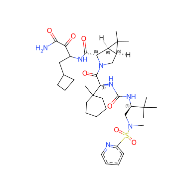 CN(C[C@@H](NC(=O)N[C@H](C(=O)N1C[C@H]2[C@@H]([C@H]1C(=O)NC(CC1CCC1)C(=O)C(N)=O)C2(C)C)C1(C)CCCCC1)C(C)(C)C)S(=O)(=O)c1ccccn1